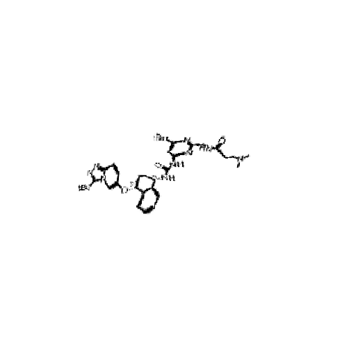 CN(C)CCC(=O)NCc1nc(NC(=O)N[C@H]2CC[C@@H](Oc3ccc4nnc(C(C)(C)C)n4c3)c3ccccc32)cc(C(C)(C)C)n1